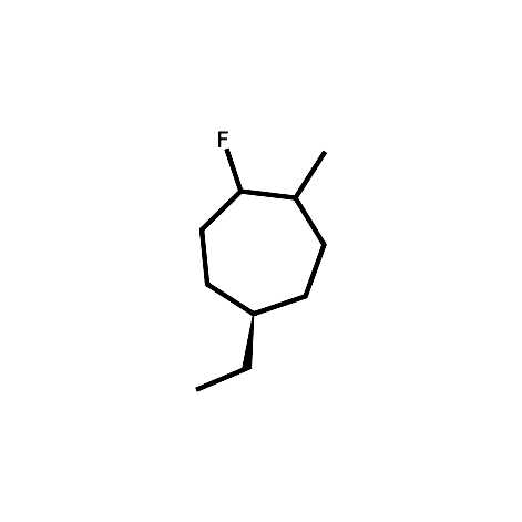 CC[C@@H]1CCC(C)C(F)CC1